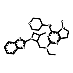 CCN(CC1C(C)CN1c1nc2ccccc2o1)c1nc2c(c(NC3CCOCC3)n1)[S+]([O-])CC2